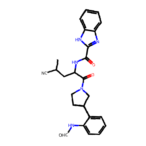 CC(C#N)CC(NC(=O)c1nc2ccccc2[nH]1)C(=O)N1CCC(c2ccccc2NC=O)C1